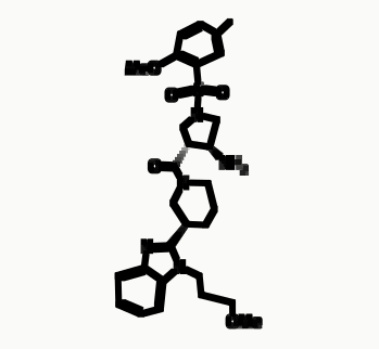 COCCCn1c([C@@H]2CCCN(C(=O)[C@@H]3CN(S(=O)(=O)c4cc(C)ccc4OC)C[C@H]3N)C2)nc2ccccc21